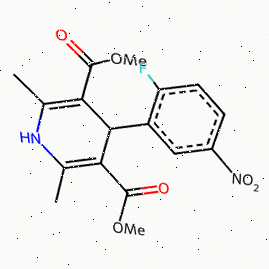 COC(=O)C1=C(C)NC(C)=C(C(=O)OC)C1c1cc([N+](=O)[O-])ccc1F